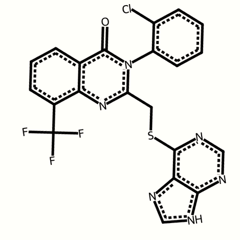 O=c1c2cccc(C(F)(F)F)c2nc(CSc2ncnc3[nH]cnc23)n1-c1ccccc1Cl